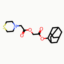 O=C(CN1CCSCC1)OCC(=O)OC1C2CC3CC(C2)CC1C3